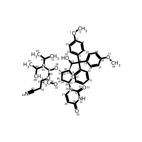 COc1ccc(C(c2ccccc2)(c2ccc(OC)cc2)C(O)[C@H]2O[C@@H](n3ccc(=O)[nH]c3=O)[C@H](OC)[C@@H]2OP(OCCC#N)N(C(C)C)C(C)C)cc1